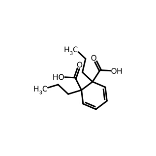 CCCC1(C(=O)O)C=CC=CC1(CCC)C(=O)O